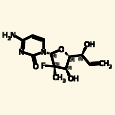 C=C[C@H](O)[C@H]1O[C@@H](n2ccc(N)nc2=O)[C@@](C)(F)[C@@H]1O